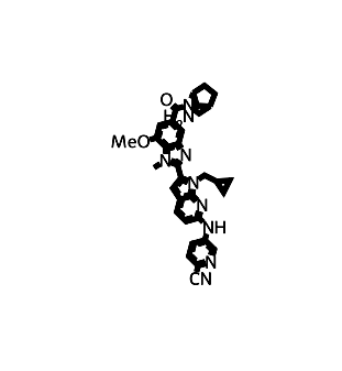 COc1cc(C(=O)N2CC3CCC2C3N)cc2nc(-c3cc4ccc(Nc5ccc(C#N)nc5)nc4n3CC3CC3)n(C)c12